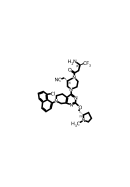 CN1CCC[C@H]1COc1nc2c(c(N3CCN(C(=O)C[C@@H](N)C(F)(F)F)[C@@H](CC#N)C3)n1)CCN(c1cccc3cccc(Cl)c13)C2